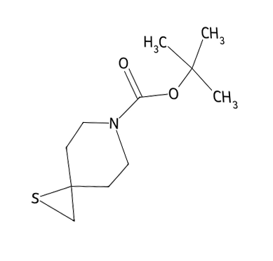 CC(C)(C)OC(=O)N1CCC2(CC1)CS2